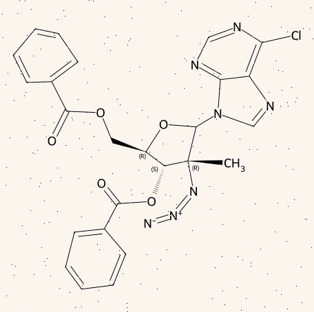 C[C@]1(N=[N+]=[N-])C(n2cnc3c(Cl)ncnc32)O[C@H](COC(=O)c2ccccc2)[C@H]1OC(=O)c1ccccc1